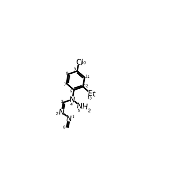 C=N/N=C\N(N)c1ccc(Cl)cc1CC